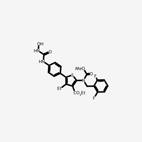 CCOC(=O)c1c(N(Cc2c(F)cccc2F)C(=O)OC)sc(-c2ccc(NC(=O)NO)cc2)c1CC